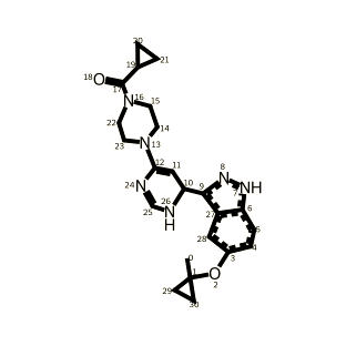 CC1(Oc2ccc3[nH]nc(C4C=C(N5CCN(C(=O)C6CC6)CC5)N=CN4)c3c2)CC1